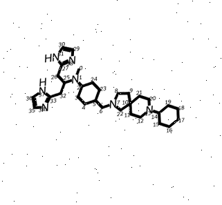 CN(C1CCC(CN2CCC3(CCN(C4CCCCC4)CC3)C2)CC1)C(Cc1ncc[nH]1)Cc1ncc[nH]1